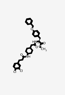 COC(=O)[C@H](Cc1ccc(OCc2ccccc2)cc1)NC(=O)CC1CCC(NC(=O)CCc2ccc(Cl)c(Cl)c2)CC1